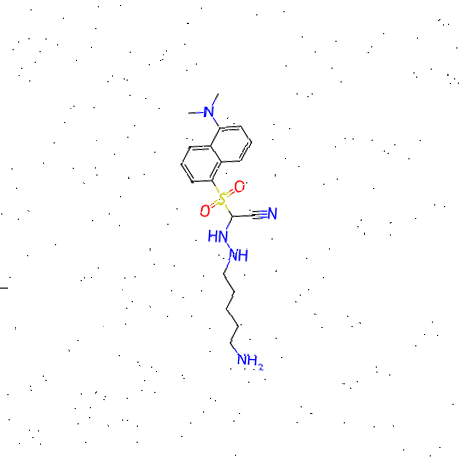 CN(C)c1cccc2c(S(=O)(=O)C(C#N)NNCCCCCN)cccc12